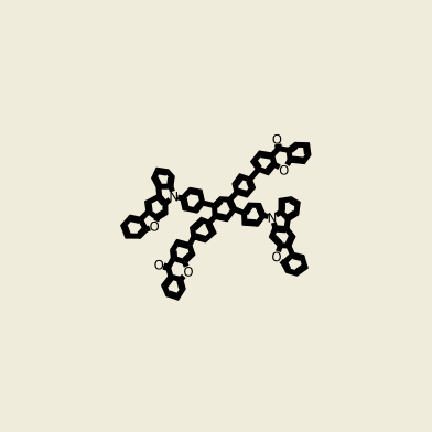 O=c1c2ccccc2oc2cc(-c3ccc(-c4cc(-c5ccc(-n6c7ccccc7c7cc8c(cc76)oc6ccccc68)cc5)c(-c5ccc(-c6ccc7c(=O)c8ccccc8oc7c6)cc5)cc4-c4ccc(-n5c6ccccc6c6cc7c(cc65)oc5ccccc57)cc4)cc3)ccc12